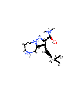 CN(C)C(=O)c1nn2c(c1C#C[Si](C)(C)C)CNCCC2